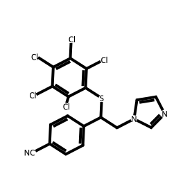 N#Cc1ccc(C(Cn2ccnc2)Sc2c(Cl)c(Cl)c(Cl)c(Cl)c2Cl)cc1